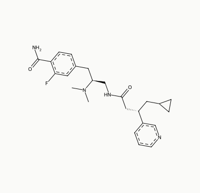 CN(C)[C@H](CNC(=O)C[C@H](CC1CC1)c1cccnc1)Cc1ccc(C(N)=O)c(F)c1